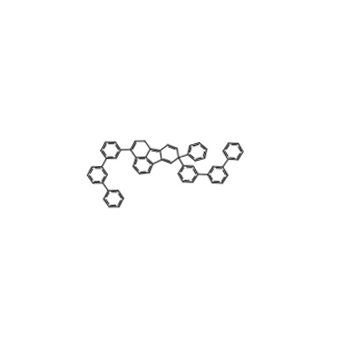 C1=CC(c2ccccc2)(c2cccc(-c3cccc(-c4ccccc4)c3)c2)C=C2C1=C1CC=C(c3cccc(-c4cccc(-c5ccccc5)c4)c3)c3cccc2c31